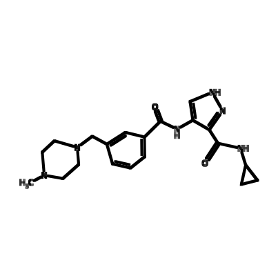 CN1CCN(Cc2cccc(C(=O)Nc3c[nH]nc3C(=O)NC3CC3)c2)CC1